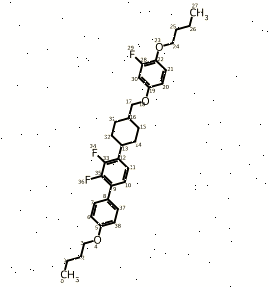 CCCCOc1ccc(-c2ccc(C3CCC(COc4ccc(OCCCC)c(F)c4)CC3)c(F)c2F)cc1